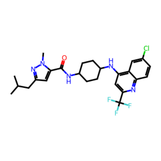 CC(C)Cc1cc(C(=O)NC2CCC(Nc3cc(C(F)(F)F)nc4ccc(Cl)cc34)CC2)n(C)n1